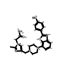 Cc1nc(CN2CCN(c3cccc4nc(-c5ccc(C(C)(C)C)cc5)oc34)CC2)cn1CC(N)=O